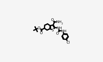 CC(C)(C)OC(=O)C1CCc2c(sc(NC(=O)Nc3ccc(Cl)cc3)c2C(N)=O)C1